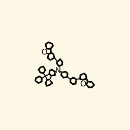 c1ccc(C2(c3ccccc3)c3ccccc3-c3cc(N(c4ccc(-c5cccc(-c6cccc7c6oc6ccccc67)c5)cc4)c4cccc(-c5ccc6oc7ccccc7c6c5)c4)ccc32)cc1